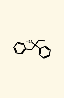 CCC(O)(Cc1ccccc1)c1ccccc1